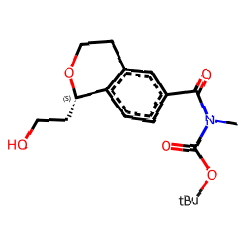 CN(C(=O)OC(C)(C)C)C(=O)c1ccc2c(c1)CCO[C@H]2CCO